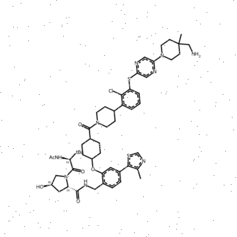 CC(=O)N[C@H](C(=O)N1C[C@H](O)C[C@H]1C(=O)NCc1ccc(-c2scnc2C)cc1OC1CCC(C(=O)N2CCC(c3cccc(Sc4cnc(N5CCC(C)(CN)CC5)cn4)c3Cl)CC2)CC1)C(C)(C)C